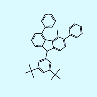 Cc1c(-c2ccccc2)ccc2c1c1c(-c3ccccc3)cccc1n2-c1cc(C(C)(C)C)cc(C(C)(C)C)c1